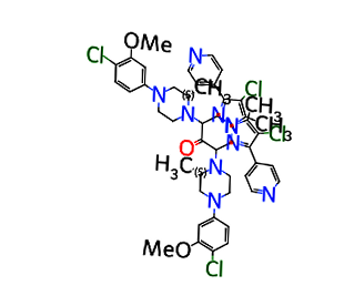 COc1cc(N2CCN(C(Cn3nc(-c4ccncc4)c(Cl)c3C)C(=O)C(Cn3nc(-c4ccncc4)c(Cl)c3C)N3CCN(c4ccc(Cl)c(OC)c4)C[C@@H]3C)[C@@H](C)C2)ccc1Cl